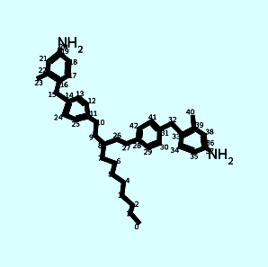 CCCCCCCCC(CCc1ccc(Cc2ccc(N)cc2C)cc1)CCc1ccc(Cc2ccc(N)cc2C)cc1